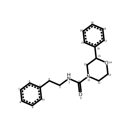 O=C(NCCc1ccccc1)N1CCOC(c2ccccc2)C1